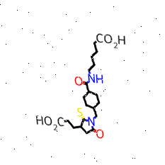 O=C(O)CCCCCNC(=O)C1CCC(CN2C(=O)CC(CCC(=O)O)C2=S)CC1